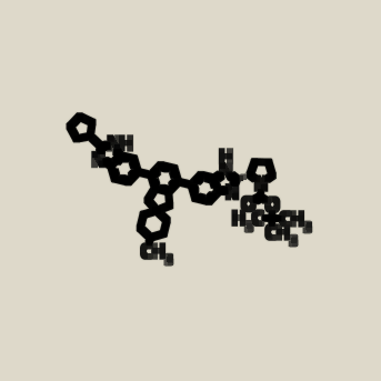 CC1CCC2(CC1)Cc1c(-c3ccc4nc(C5CCCC5)[nH]c4c3)ccc(-c3ccc4nc([C@@H]5CCCN5C(=O)OC(C)(C)C)[nH]c4c3)c1C2